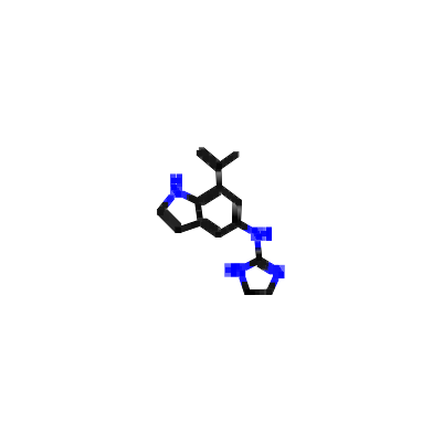 C=C(C)c1cc(NC2=NCCN2)cc2cc[nH]c12